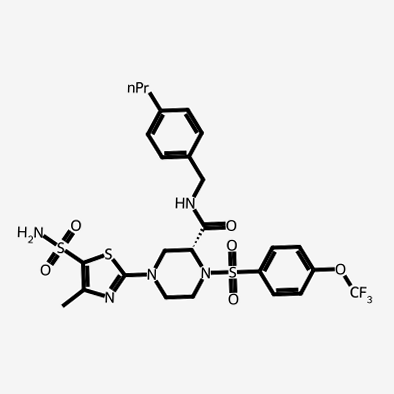 CCCc1ccc(CNC(=O)[C@H]2CN(c3nc(C)c(S(N)(=O)=O)s3)CCN2S(=O)(=O)c2ccc(OC(F)(F)F)cc2)cc1